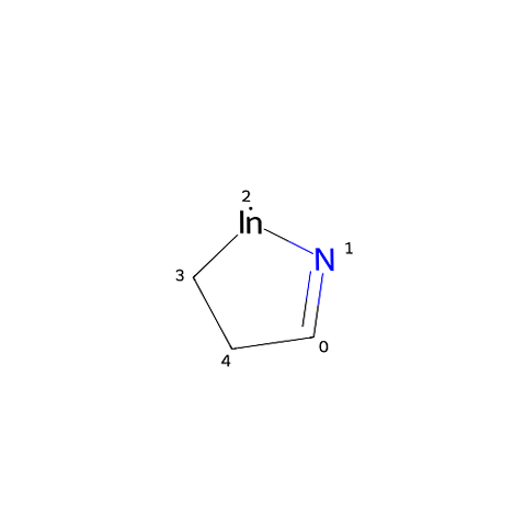 C1=[N][In][CH2]C1